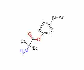 CCC(N)(CC)C(=O)Oc1ccc(NC(C)=O)cc1